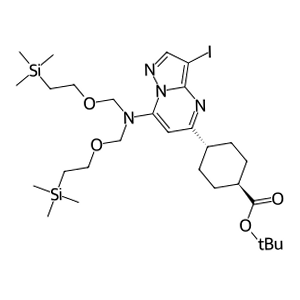 CC(C)(C)OC(=O)[C@H]1CC[C@H](c2cc(N(COCC[Si](C)(C)C)COCC[Si](C)(C)C)n3ncc(I)c3n2)CC1